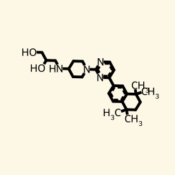 CC1(C)CCC(C)(C)c2cc(-c3ccnc(N4CCC(NCC(O)CO)CC4)n3)ccc21